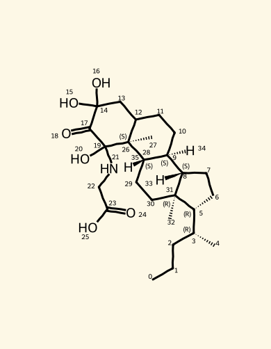 CCC[C@@H](C)[C@H]1CC[C@H]2[C@@H]3CCC4CC(O)(O)C(=O)C(O)(NCC(=O)O)[C@]4(C)[C@H]3CC[C@]12C